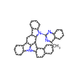 Cc1nc(-n2c3ccccc3c3cc4c5ccccc5n5c6ccc7ccccc7c6c(c32)c45)nc2ccccc12